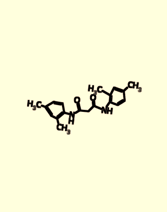 Cc1ccc(NC(=O)CC(=O)Nc2ccc(C)cc2C)c(C)c1